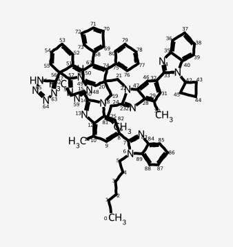 CCCCCCn1c(-c2cc(C)c3nc(CCC)n(CC4(Cn5c(CCC)nc6c(C)cc(-c7nc8ccccc8n7C7CCC7)cc65)C=CC(=C5C=CC=CC5(c5nnn[nH]5)c5nnn[nH]5)C(c5ccccc5)=C4c4ccccc4)c3c2)nc2ccccc21